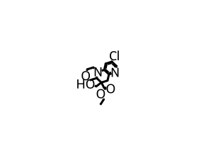 CCOC(=O)C1(CO)Cc2ncc(Cl)cc2N2CCOCC21